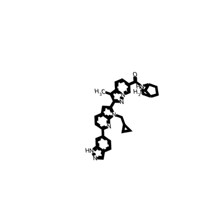 Cc1c(-c2cc3ccc(-c4ccc5cn[nH]c5c4)nc3n2CC2CC2)nn2cc(C(=O)N3CC4CCC3[C@@H]4N)ccc12